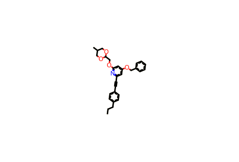 CCCc1ccc(C#Cc2cc(OCc3ccccc3)cc(OCC3OCC(C)CO3)n2)cc1